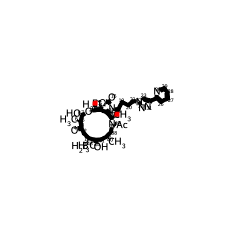 B[C@@H]1CC(=O)[C@@H](C)C(O)O[C@H](CC)[C@@]2(C)OC(=O)N(CCCCn3cc(-c4ccccn4)nn3)[C@@H]2[C@@H](C)N(C(C)=O)C[C@H](C)C[C@]1(C)O